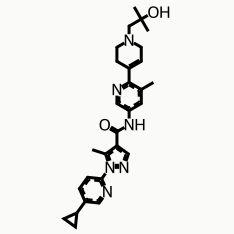 Cc1cc(NC(=O)c2cnn(-c3ccc(C4CC4)cn3)c2C)cnc1C1=CCN(CC(C)(C)O)CC1